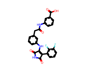 O=C(Cc1cccc(NC2=C(c3cccc(F)c3F)C(=O)NC2=O)c1)Nc1cccc(C(=O)O)c1